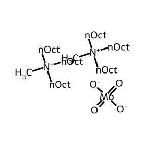 CCCCCCCC[N+](C)(CCCCCCCC)CCCCCCCC.CCCCCCCC[N+](C)(CCCCCCCC)CCCCCCCC.[O]=[Mo](=[O])([O-])[O-]